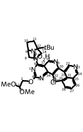 COC(COc1nc(N2CC3CCC(C(C)(C)C)(C2)N3C(=O)O)c2cnc(-c3cncc4cccc(Cl)c34)c(F)c2n1)OC